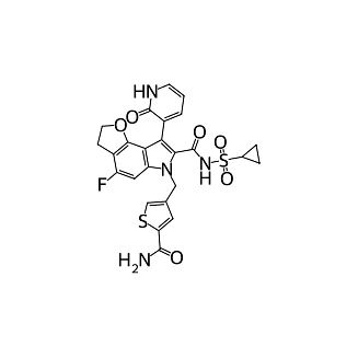 NC(=O)c1cc(Cn2c(C(=O)NS(=O)(=O)C3CC3)c(-c3ccc[nH]c3=O)c3c4c(c(F)cc32)CCO4)cs1